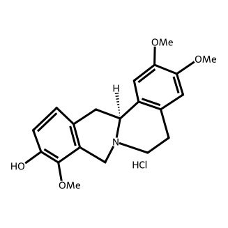 COc1cc2c(cc1OC)[C@@H]1Cc3ccc(O)c(OC)c3CN1CC2.Cl